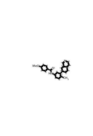 COc1ccc(C(=O)Nc2ccc(C)c(-c3ccc4ccncc4c3)c2)cc1